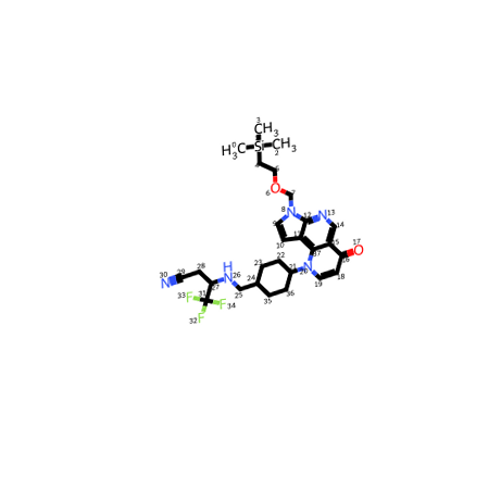 C[Si](C)(C)CCOCn1ccc2c1ncc1c(=O)ccn(C3CCC(CNC(CC#N)C(F)(F)F)CC3)c12